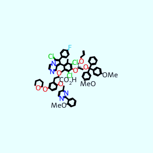 C=CCOC[C@H](COC(c1ccccc1)(c1ccc(OC)cc1)c1ccc(OC)cc1)Oc1c(Cl)c(C)c(-c2c(-c3ccc(F)cc3)c(Cl)n3ccnc(OC(Cc4cc(OC5CCCCO5)ccc4OCc4ccnc(-c5ccccc5OC)n4)C(=O)O)c23)c(C)c1Cl